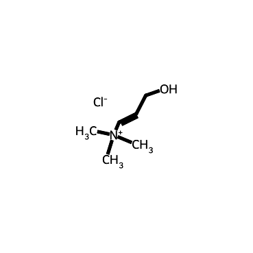 C[N+](C)(C)C=CCO.[Cl-]